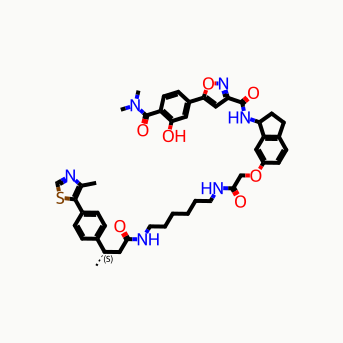 Cc1ncsc1-c1ccc([C@@H](C)CC(=O)NCCCCCCNC(=O)COc2ccc3c(c2)C(NC(=O)c2cc(-c4ccc(C(=O)N(C)C)c(O)c4)on2)CC3)cc1